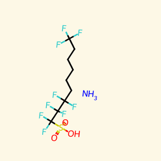 N.O=S(=O)(O)C(F)(F)C(F)(F)C(F)(F)CCCCCC(F)(F)F